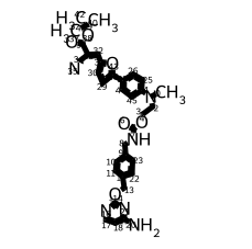 CN(CCOC(=O)NCc1ccc(COc2nccc(N)n2)cc1)c1ccc(-c2ccc(/C=C(\C#N)C(=O)OC(C)(C)C)o2)cc1